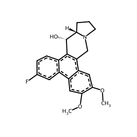 COc1cc2c3c(c4ccc(F)cc4c2cc1OC)[C@H](O)[C@@H]1CCCN1C3